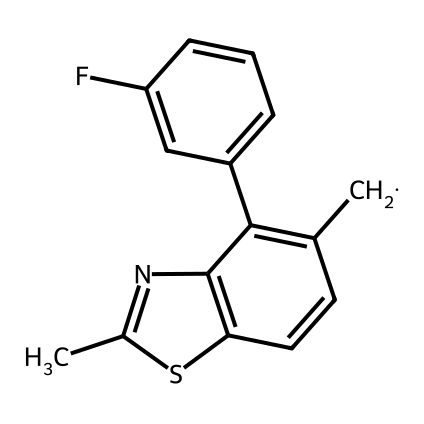 [CH2]c1ccc2sc(C)nc2c1-c1cccc(F)c1